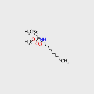 CCCCCCCCCCCC(=O)N[C@@H](CC[Se]C)C(=O)OC